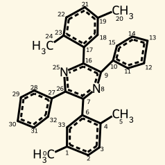 Cc1ccc(C)c(-c2nc(-c3ccccc3)c(-c3cc(C)ccc3C)nc2-c2ccccc2)c1